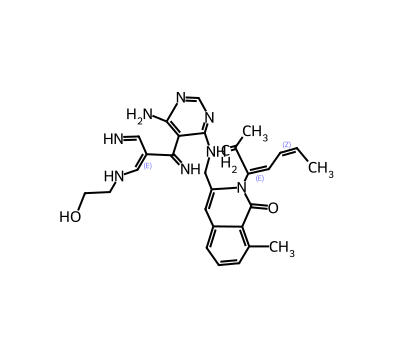 C=C(C)/C(=C\C=C/C)n1c(CNc2ncnc(N)c2C(=N)/C(C=N)=C/NCCO)cc2cccc(C)c2c1=O